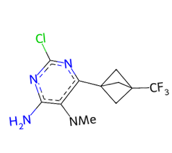 CNc1c(N)nc(Cl)nc1C12CC(C(F)(F)F)(C1)C2